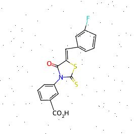 O=C(O)c1cccc(N2C(=O)/C(=C/c3cccc(F)c3)SC2=S)c1